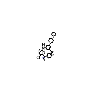 C/C=C(\c1ccc(C)cc1)c1nc(Nc2cc(C3CC3)cc(N3CCC(N4CCCC4)CC3)c2)ncc1Cl